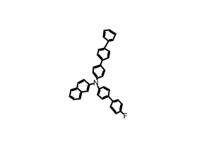 Fc1ccc(-c2ccc(N(c3ccc(-c4ccc(-c5ccccc5)cc4)cc3)c3ccc4ccccc4c3)cc2)cc1